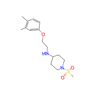 Cc1ccc(OCCNC2CCN(S(C)(=O)=O)CC2)cc1C